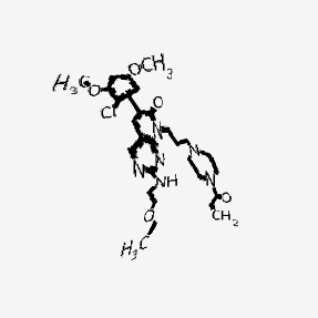 C=CC(=O)N1CCN(CCCn2c(=O)c(-c3cc(OC)cc(OC)c3Cl)cc3cnc(NCCOCC)nc32)CC1